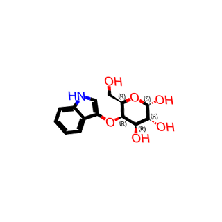 OC[C@H]1O[C@H](O)[C@H](O)[C@@H](O)[C@H]1Oc1c[nH]c2ccccc12